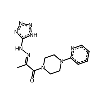 CC(=NNc1nnn[nH]1)C(=O)N1CCN(c2ccccn2)CC1